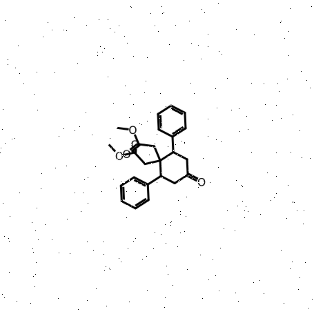 COC(=O)CC1(CC(=O)OC)C(c2ccccc2)CC(=O)CC1c1ccccc1